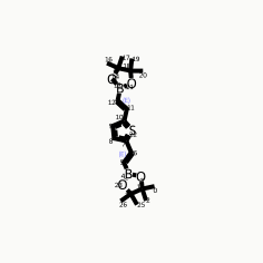 CC1(C)OB(/C=C/c2ccc(/C=C/B3OC(C)(C)C(C)(C)O3)s2)OC1(C)C